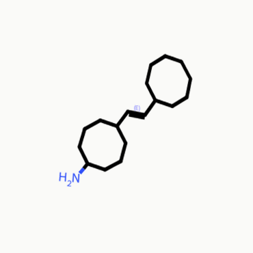 NC1CCCC(/C=C/C2CCCCCCC2)CCC1